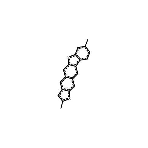 Cc1ccc2c(c1)sc1cc3cc4cc(C)sc4cc3cc12